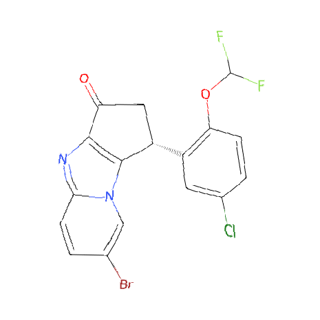 O=C1C[C@H](c2cc(Cl)ccc2OC(F)F)c2c1nc1ccc(Br)cn21